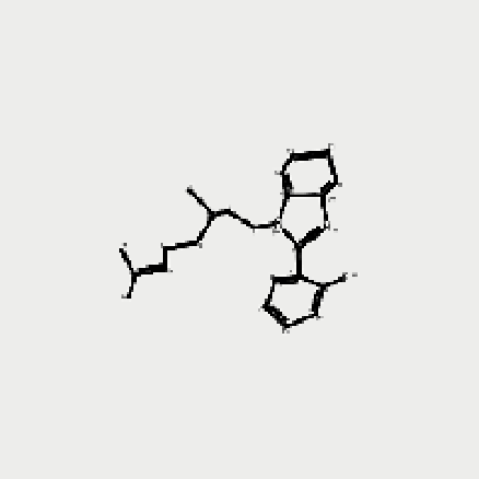 CC(C)=CCCC(C)CCn1c(-c2ccccc2F)nc2ccccc21